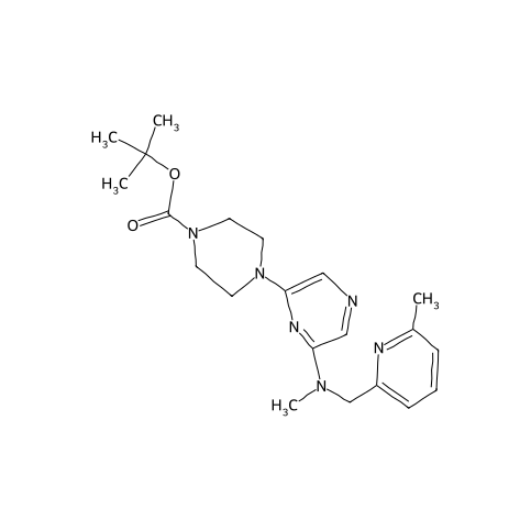 Cc1cccc(CN(C)c2cncc(N3CCN(C(=O)OC(C)(C)C)CC3)n2)n1